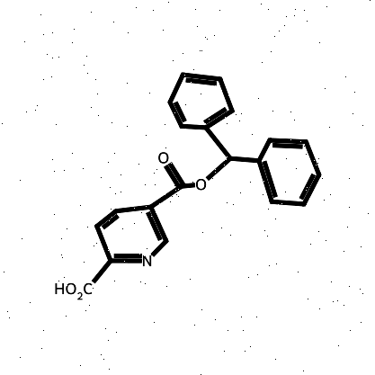 O=C(OC(c1ccccc1)c1ccccc1)c1ccc(C(=O)O)nc1